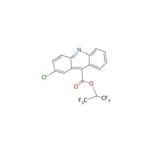 O=C(OC(C(F)(F)F)C(F)(F)F)c1c2ccccc2nc2ccc(Cl)cc12